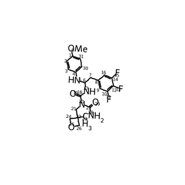 COc1ccc(NC(Cc2cc(F)c(F)c(F)c2)NC(=O)N(CC2(C)COC2)C(N)=O)cc1